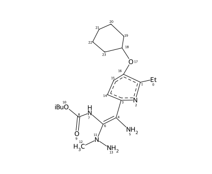 CCc1nc(/C(N)=C(\NC(=O)OCC(C)C)N(C)N)ccc1OC1CCCCC1